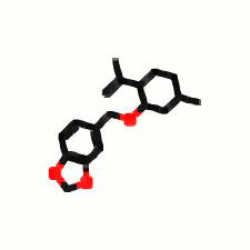 C=C(C)C1CCC(C)CC1OCc1ccc2c(c1)OCO2